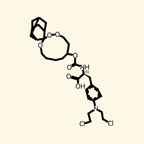 O=C(N[C@@H](Cc1ccc(N(CCCl)CCCl)cc1)C(=O)O)OC1CCCCOC2(OOCC1)C1CC3CC(C1)CC2C3